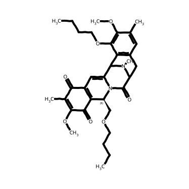 CCCCOC[C@H]1C2=C(C=C3C4c5c(cc(C)c(OC)c5OCCCC)CC(C(=O)N31)N4C)C(=O)C(C)=C(OC)C2=O